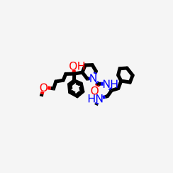 CNCC(CC1CCCCC1)NC(=O)N1CCCC(C(O)(CCCCOC)c2ccccc2)C1